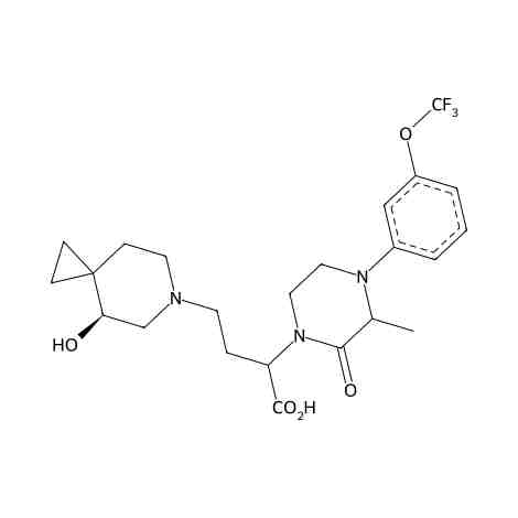 CC1C(=O)N(C(CCN2CCC3(CC3)[C@H](O)C2)C(=O)O)CCN1c1cccc(OC(F)(F)F)c1